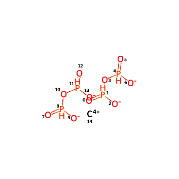 O=[PH]([O-])O[PH](=O)[O-].O=[PH]([O-])O[PH](=O)[O-].[C+4]